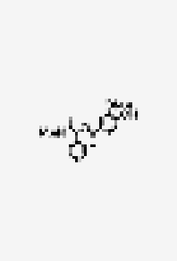 CN[C@H](C)[C@@H](OC(=O)c1ccc(O)c(OC)c1)c1ccccc1